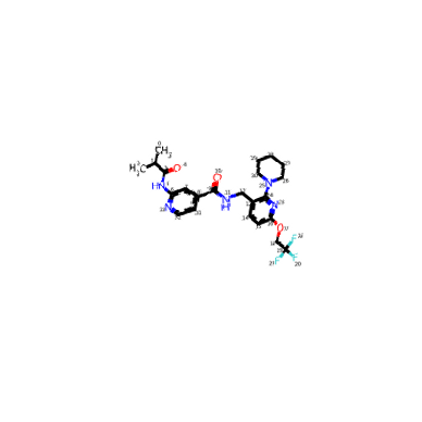 CC(C)C(=O)Nc1cc(C(=O)NCc2ccc(OCC(F)(F)F)nc2N2CCCCC2)ccn1